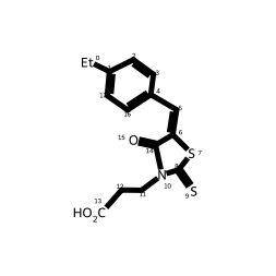 CCc1ccc(/C=C2/SC(=S)N(CCC(=O)O)C2=O)cc1